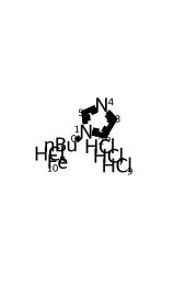 CCCCn1ccnc1.Cl.Cl.Cl.Cl.[Fe]